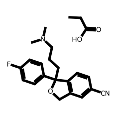 CCC(=O)O.CN(C)CCCC1(c2ccc(F)cc2)OCc2cc(C#N)ccc21